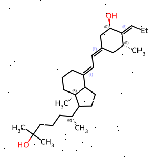 CC/C=C1\[C@H](C)C/C(=C\C=C2/CCC[C@@]3(C)C2CCC3[C@H](C)CCCC(C)(C)O)C[C@H]1O